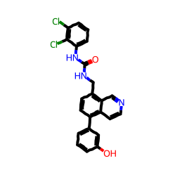 O=C(NCc1ccc(-c2cccc(O)c2)c2ccncc12)Nc1cccc(Cl)c1Cl